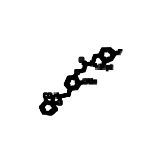 CCCCCCCN(Cc1ccc(F)cc1F)C(=O)COc1ccc(CCOC2(C)C=CC=CC2C(=O)O)cc1OC